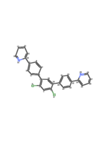 Clc1cc(Cl)c(-c2ccc(-c3ccccn3)cc2)cc1-c1ccc(-c2ccccn2)cc1